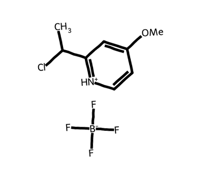 COc1cc[nH+]c(C(C)Cl)c1.F[B-](F)(F)F